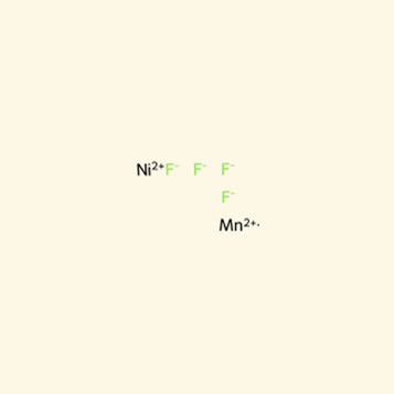 [F-].[F-].[F-].[F-].[Mn+2].[Ni+2]